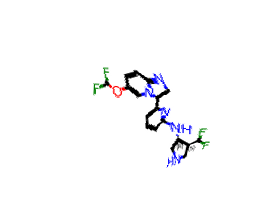 FC(F)Oc1ccc2ncc(-c3cccc(N[C@H]4CNC[C@@H]4C(F)F)n3)n2c1